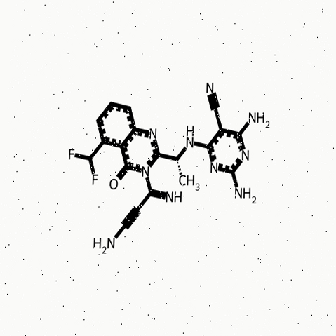 C[C@@H](Nc1nc(N)nc(N)c1C#N)c1nc2cccc(C(F)F)c2c(=O)n1C(=N)C#CN